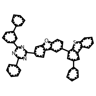 c1ccc(-c2cccc(-c3nc(-c4ccccc4)nc(-c4ccc5c(c4)oc4ccc(-c6cc(-c7ccccc7)cc7c6sc6ccccc67)cc45)n3)c2)cc1